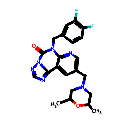 CC1CN(Cc2cnc3c(c2)c2ncnn2c(=O)n3Cc2ccc(F)c(F)c2)CC(C)O1